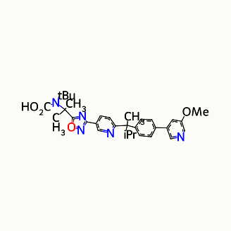 COc1cncc(-c2ccc(C(C)(c3ccc(-c4noc(C(C)(C)N(C(=O)O)C(C)(C)C)n4)cn3)C(C)C)cc2)c1